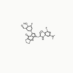 CN(C)c1cc(NC(=O)Cn2cc(-c3cc(F)c(O)c(C=O)c3)c3c(=O)n4c(nc32)CCC4)c(Cl)c(F)n1